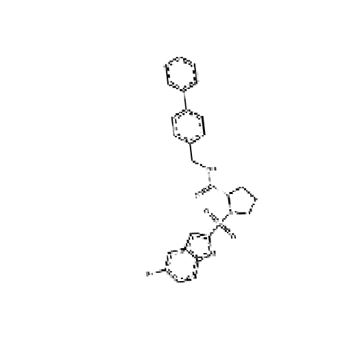 O=C(NCc1ccc(-c2ccccc2)cc1)[C@@H]1CCCN1S(=O)(=O)c1cc2cc(F)ccc2o1